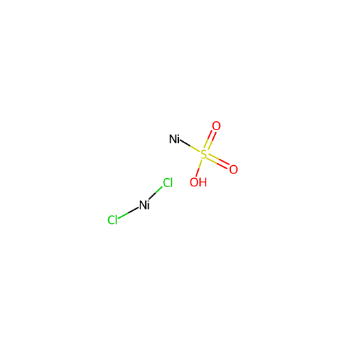 O=[S](=O)(O)[Ni].[Cl][Ni][Cl]